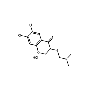 CN(C)CSC1COc2cc(Cl)c(Cl)cc2C1=O.Cl